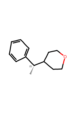 C[C@H](c1ccccc1)C1CCOCC1